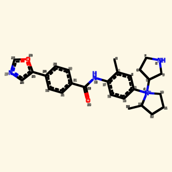 Cc1cc([N+]2(C3CCNC3)CCCC2C)ccc1NC(=O)c1ccc(-c2cnco2)cc1